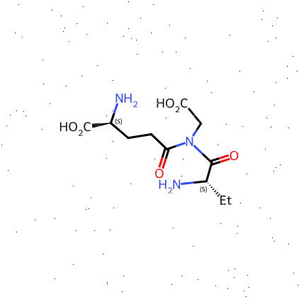 CC[C@H](N)C(=O)N(CC(=O)O)C(=O)CC[C@H](N)C(=O)O